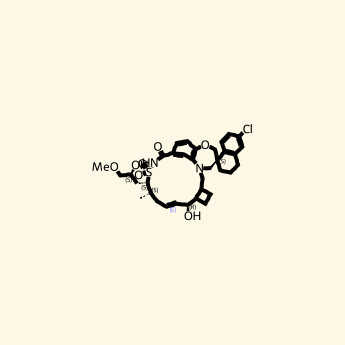 COC[C@@H](O)C[C@H]1[C@@H](C)C/C=C/[C@H](O)C2CCC2CN2C[C@@]3(CCCc4cc(Cl)ccc43)COc3ccc(cc32)C(=O)NS1(=O)=O